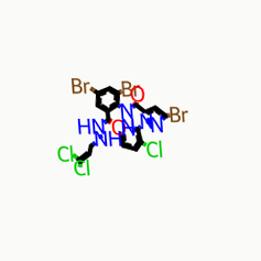 O=C(NNCC=C(Cl)Cl)c1cc(Br)cc(Br)c1NC(=O)c1cc(Br)nn1-c1ncccc1Cl